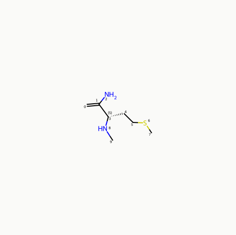 C=C(N)[C@H](CCSC)NC